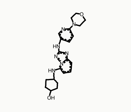 OC1CCC(Nc2cccc3nc(Nc4ccc(N5CCOCC5)nc4)nn23)CC1